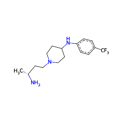 C[C@@H](N)CCN1CCC(Nc2ccc(C(F)(F)F)cc2)CC1